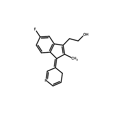 CC1=C(CCO)c2cc(F)ccc2/C1=C1\C=NC=CC1